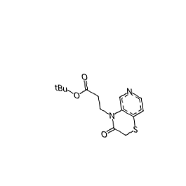 CC(C)(C)OC(=O)CCN1C(=O)CSc2ccncc21